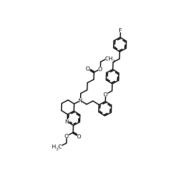 CCOC(=O)CCCCN(CCc1ccccc1OCc1ccc(CCc2ccc(F)cc2)cc1)C1CCCc2nc(C(=O)OCC)ccc21